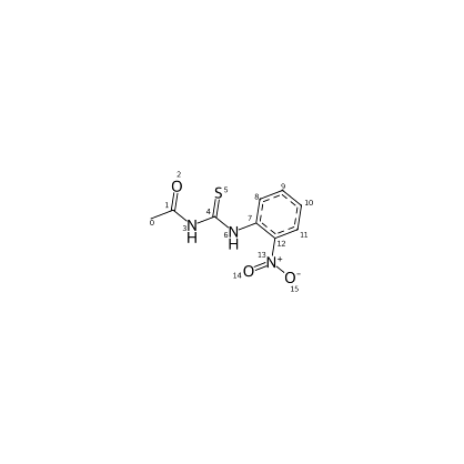 CC(=O)NC(=S)Nc1ccccc1[N+](=O)[O-]